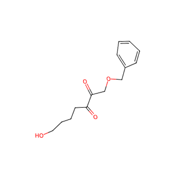 O=C(CCCCO)C(=O)COCc1ccccc1